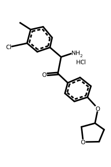 Cc1ccc(C(N)C(=O)c2ccc(OC3CCOC3)cc2)cc1Cl.Cl